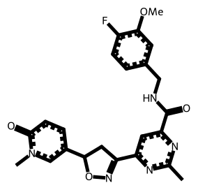 COc1cc(CNC(=O)c2cc(C3=NOC(c4ccc(=O)n(C)c4)C3)nc(C)n2)ccc1F